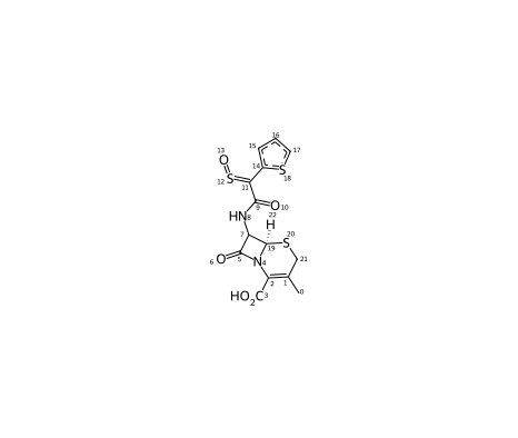 CC1=C(C(=O)O)N2C(=O)C(NC(=O)C(=S=O)c3cccs3)[C@H]2SC1